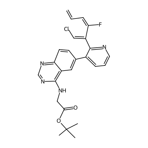 C=C/C=C(F)\C(=C/Cl)c1ncccc1-c1ccc2ncnc(NCC(=O)OC(C)(C)C)c2c1